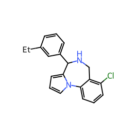 CCc1cccc(C2NCc3c(Cl)cccc3-n3cccc32)c1